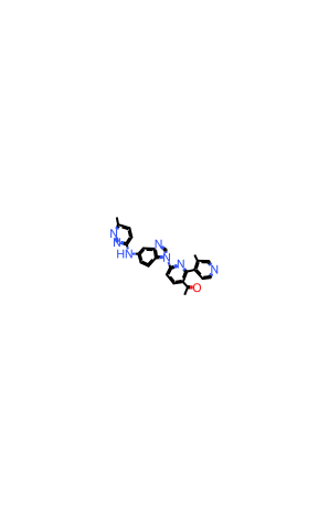 CC(=O)c1ccc(-n2cnc3cc(Nc4ccc(C)nn4)ccc32)nc1-c1ccncc1C